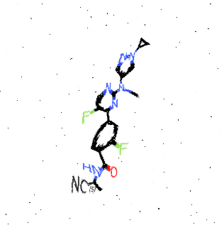 C[C@@H](C#N)NC(=O)c1ccc(-c2nc(N(C)c3cnn(C4CC4)c3)ncc2F)cc1F